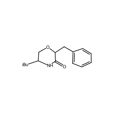 CCC(C)C1COC(Cc2ccccc2)C(=O)N1